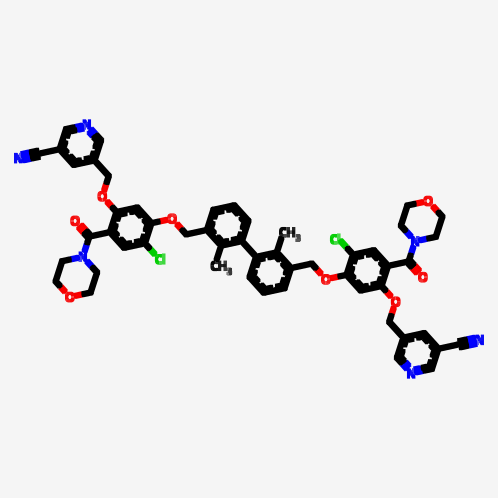 Cc1c(COc2cc(OCc3cncc(C#N)c3)c(C(=O)N3CCOCC3)cc2Cl)cccc1-c1cccc(COc2cc(OCc3cncc(C#N)c3)c(C(=O)N3CCOCC3)cc2Cl)c1C